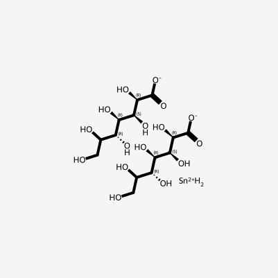 O=C([O-])[C@H](O)[C@@H](O)[C@H](O)[C@H](O)C(O)CO.O=C([O-])[C@H](O)[C@@H](O)[C@H](O)[C@H](O)C(O)CO.[SnH2+2]